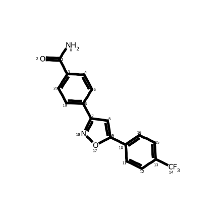 NC(=O)c1ccc(-c2cc(-c3ccc(C(F)(F)F)cc3)on2)cc1